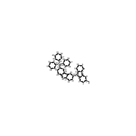 Cc1ccc2c(c1)c1ccccc1n2-c1ccc2sc3ccc([Si](c4ccccc4)(c4ccccc4)c4ccccc4)cc3c2c1